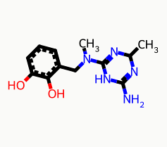 CC1N=C(N)NC(N(C)Cc2cccc(O)c2O)=N1